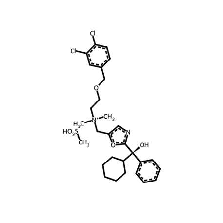 CS(=O)(=O)O.C[N+](C)(CCOCc1ccc(Cl)c(Cl)c1)Cc1cnc([C@](O)(c2ccccc2)C2CCCCC2)o1